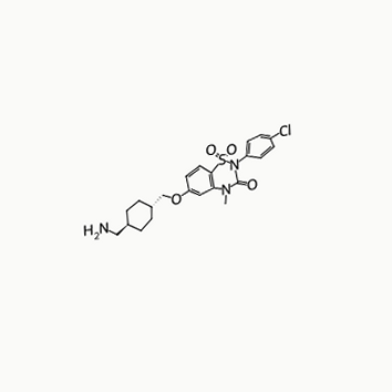 CN1C(=O)N(c2ccc(Cl)cc2)S(=O)(=O)c2ccc(OC[C@H]3CC[C@H](CN)CC3)cc21